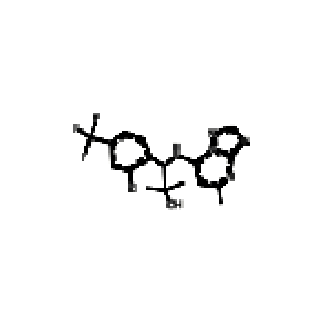 Cc1cc(NC(c2ccc(C(F)(F)F)cc2Cl)C(C)(C)O)n2ncnc2n1